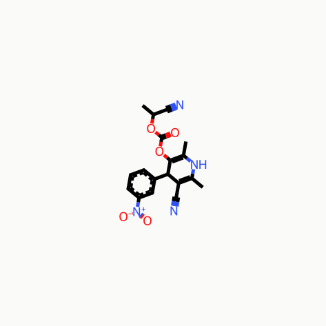 CC1=C(C#N)C(c2cccc([N+](=O)[O-])c2)C(OC(=O)OC(C)C#N)=C(C)N1